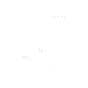 CCOC(=O)c1ccc(=O)n(C(C)(C)C)c1